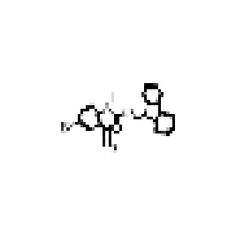 Nc1cc(Br)ccc1NC(=O)OCC1c2ccccc2-c2ccccc21